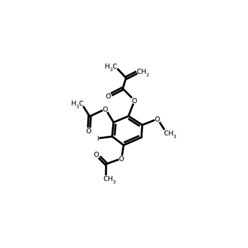 C=C(C)C(=O)Oc1c(OC)cc(OC(C)=O)c(I)c1OC(C)=O